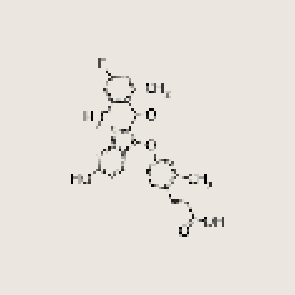 Cc1cc(Oc2c(C(=O)c3c(C)cc(F)cc3C)sc3cc(O)ccc23)ccc1/C=C/C(=O)O